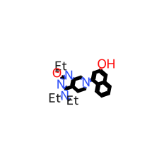 CCOc1nc2c(c(N(CC)CC)n1)CCN(c1cc(O)cc3ccccc13)C2